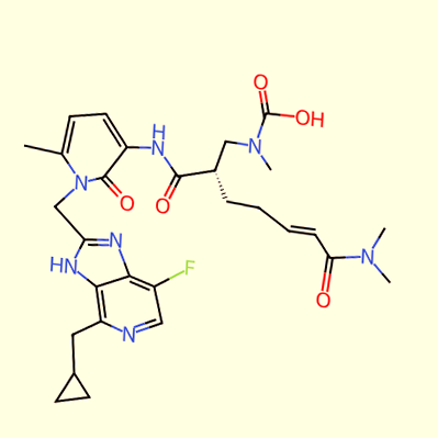 Cc1ccc(NC(=O)[C@@H](CC/C=C/C(=O)N(C)C)CN(C)C(=O)O)c(=O)n1Cc1nc2c(F)cnc(CC3CC3)c2[nH]1